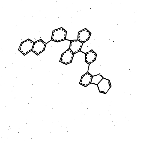 C1=CC2Sc3c(-c4cccc(-c5c6ccccc6c(-c6cccc(-c7ccc8ccccc8c7)c6)c6ccccc56)c4)cccc3C2C=C1